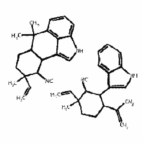 [C-]#[N+]C1C(c2c[nH]c3ccccc23)C(C(=C)C)CCC1(C)C=C.[C-]#[N+]C1C2c3c[nH]c4cccc(c34)C(C)(C)C2CCC1(C)C=C